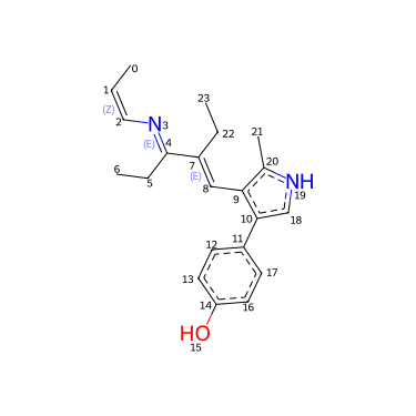 C\C=C/N=C(CC)/C(=C/c1c(-c2ccc(O)cc2)c[nH]c1C)CC